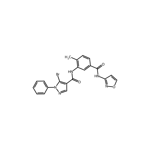 Cc1ccc(C(=O)Nc2ccon2)cc1NC(=O)c1cnn(-c2ccccc2)c1Br